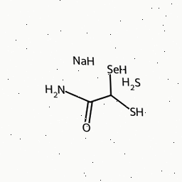 NC(=O)C(S)[SeH].S.[NaH]